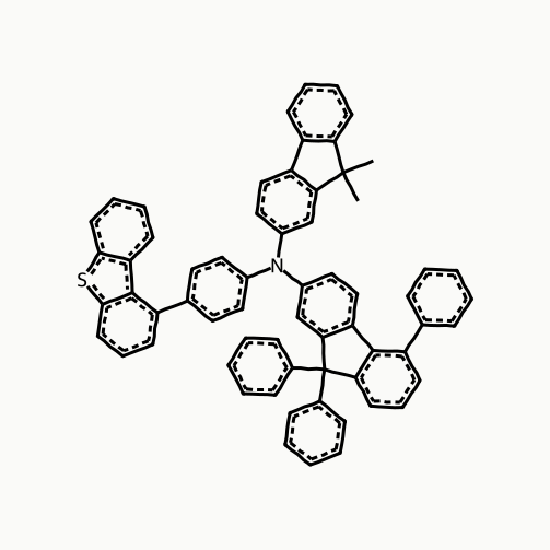 CC1(C)c2ccccc2-c2ccc(N(c3ccc(-c4cccc5sc6ccccc6c45)cc3)c3ccc4c(c3)C(c3ccccc3)(c3ccccc3)c3cccc(-c5ccccc5)c3-4)cc21